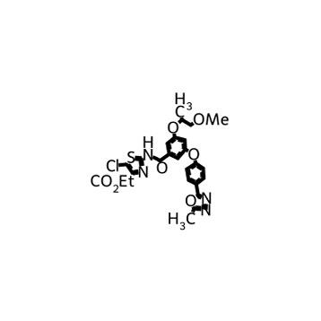 CCOC(=O)c1nc(NC(=O)c2cc(Oc3ccc(-c4nnc(C)o4)cc3)cc(OC(C)COC)c2)sc1Cl